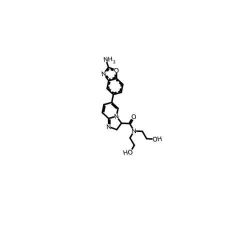 Nc1nc2cc(C3=CN4C(=NCC4C(=O)N(CCO)CCO)C=C3)ccc2o1